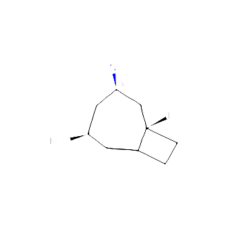 C[C@@H]1CC2CC[C@H]2C[C@H](N)C1